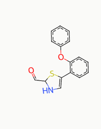 O=CC1NC=C(c2ccccc2Oc2ccccc2)S1